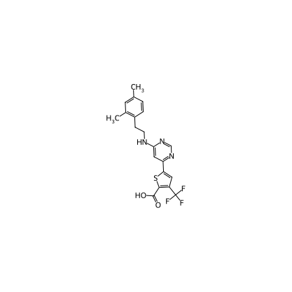 Cc1ccc(CCNc2cc(-c3cc(C(F)(F)F)c(C(=O)O)s3)ncn2)c(C)c1